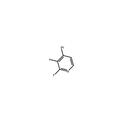 CC(C)c1ccnc(F)c1I